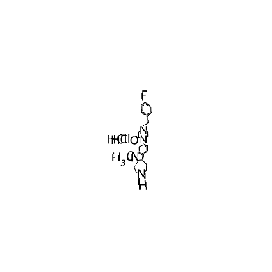 Cl.Cl.Cn1c2c(c3ccc(N4CCN(CCc5ccc(F)cc5)CC4=O)cc31)CCNCC2